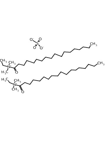 CCCCCCCCCCCCCCCCCC(=O)[N+](C)(C)CC.CCCCCCCCCCCCCCCCCC(=O)[N+](C)(C)CC.O=S(=O)([O-])[O-]